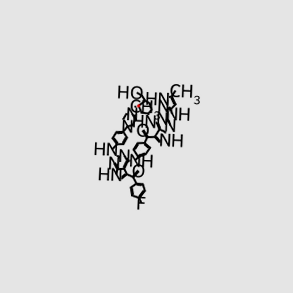 Cc1cc(Nc2nc(NC3CCC(CO)CC3)c3c(C(=O)c4ccc(Nc5nc(Nc6ccc(N7CCN(C)CC7)cc6)nc6[nH]cc(C(=O)c7ccc(F)cc7)c56)cc4)c[nH]c3n2)n[nH]1